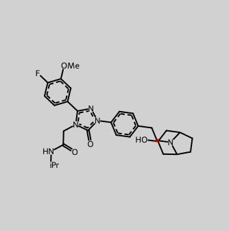 COc1cc(-c2nn(-c3ccc(CCN4C5CCC4CC(O)C5)cc3)c(=O)n2CC(=O)NC(C)C)ccc1F